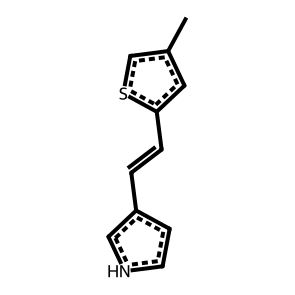 Cc1csc(C=Cc2cc[nH]c2)c1